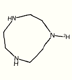 [2H]N1CCNCCNCC1